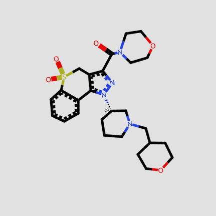 O=C(c1nn([C@H]2CCCN(CC3CCOCC3)C2)c2c1CS(=O)(=O)c1ccccc1-2)N1CCOCC1